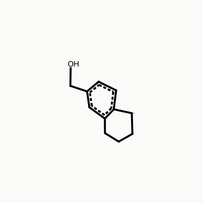 OCc1ccc2c(c1)CCC[CH]2